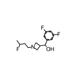 CC(F)CCN1CC(C(O)c2cc(F)cc(F)c2)C1